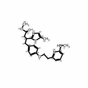 CNc1cccc(CCOc2ccc(CC(CC(=O)OC)c3ncc(C)s3)cc2)n1